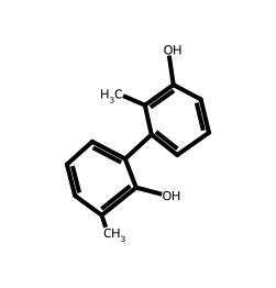 Cc1cccc(-c2cccc(O)c2C)c1O